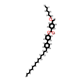 CCCCCCCCCCCCCCCc1ccc(-c2ccc(OC(=O)c3ccc(C(C)OCCCCCC)cc3)cc2)cc1